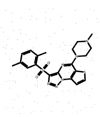 Cc1ccc(C)c(S(=O)(=O)c2nnn3c2nc(N2CCN(C)CC2)c2sccc23)c1